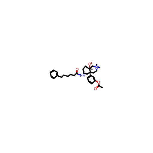 CO[C@]12CC[C@H](NC(=O)CCCCCc3ccccc3)C[C@]1(c1cccc(OC(C)=O)c1)CC[N+](C)(C)C2